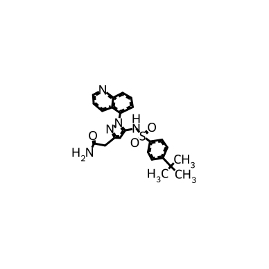 CC(C)(C)c1ccc(S(=O)(=O)Nc2cc(CC(N)=O)nn2-c2cccc3ncccc23)cc1